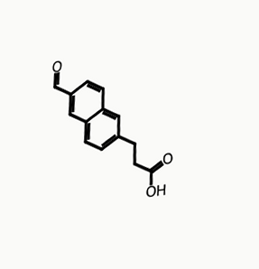 O=Cc1ccc2cc(CCC(=O)O)ccc2c1